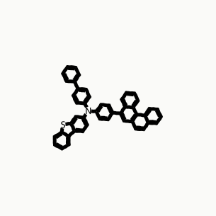 c1ccc(-c2ccc(N(c3ccc(-c4cc5ccc6ccccc6c5c5ccccc45)cc3)c3ccc4c(c3)sc3ccccc34)cc2)cc1